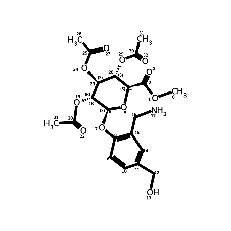 COC(=O)[C@H]1O[C@@H](Oc2ccc(CO)cc2CN)[C@H](OC(C)=O)[C@@H](OC(C)=O)[C@@H]1OC(C)=O